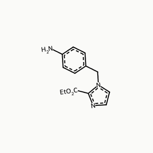 CCOC(=O)c1nccn1Cc1ccc(N)cc1